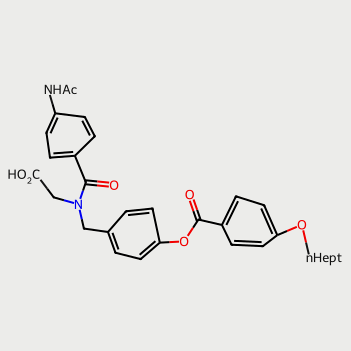 CCCCCCCOc1ccc(C(=O)Oc2ccc(CN(CC(=O)O)C(=O)c3ccc(NC(C)=O)cc3)cc2)cc1